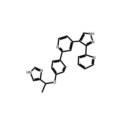 CC(Oc1ccc(-c2cc(-c3c[nH]nc3-c3ccccn3)ccn2)cc1)c1c[nH]cn1